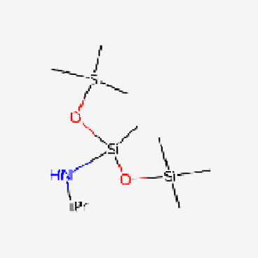 CC(C)N[Si](C)(O[Si](C)(C)C)O[Si](C)(C)C